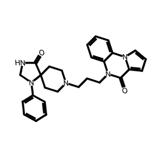 O=C1NCN(c2ccccc2)C12CCN(CCCn1c(=O)c3cccn3c3ccccc31)CC2